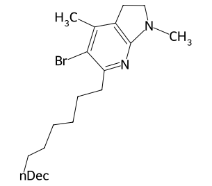 CCCCCCCCCCCCCCCCc1nc2c(c(C)c1Br)CCN2C